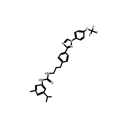 Cc1cc(NC(=O)NCCCc2ccc(-c3ncn(-c4ccc(OC(F)(F)F)cc4)n3)cc2)cc(C(C)C)c1